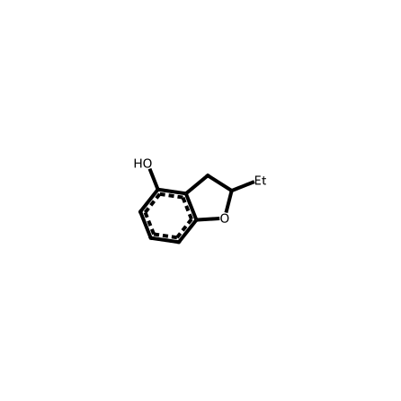 CCC1Cc2c(O)cccc2O1